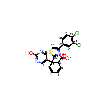 O=C(O)C1C=CC=CC1(c1cnc(O)nc1)c1nc(-c2ccc(Cl)c(Cl)c2)cs1